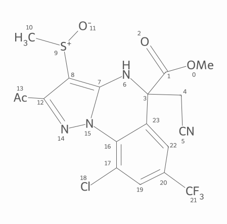 COC(=O)C1(CC#N)Nc2c([S+](C)[O-])c(C(C)=O)nn2-c2c(Cl)cc(C(F)(F)F)cc21